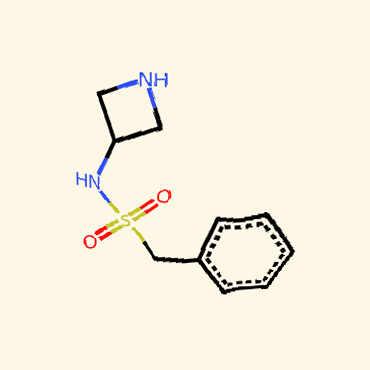 O=S(=O)(Cc1ccccc1)NC1CNC1